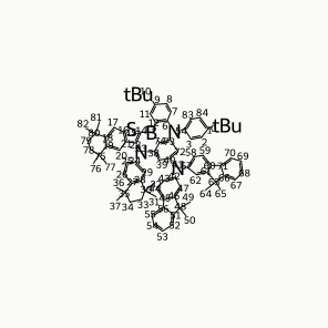 CC(C)(C)c1ccc(N2c3ccc(C(C)(C)C)cc3B3c4sc5cc6c(cc5c4N(c4ccc5c(c4)C(C)(C)CCC5(C)C)c4cc(N(c5ccc7c(c5)C(C)(C)c5ccccc5-7)c5ccc7c(c5)C(C)(C)c5ccccc5-7)cc2c43)C(C)(C)CCC6(C)C)cc1